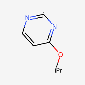 CC(C)Oc1ccn[c]n1